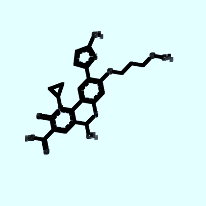 COCCCOc1cc2c(cc1-c1ccc(C)s1)-c1c(cc(C(=O)O)c(=O)n1C1CC1)C(C)S2